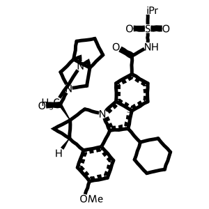 COc1ccc2c(c1)[C@@H]1C[C@]1(C(=O)N1CC34CCCC3(CN(C)C4)C1)Cn1c-2c(C2CCCCC2)c2ccc(C(=O)NS(=O)(=O)C(C)C)cc21